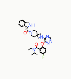 CCN(C(=O)c1cc(F)ccc1Oc1nncnc1N1CC2(CCN(C(=O)[C@H]3NCc4ccccc43)CC2)C1)C(C)C